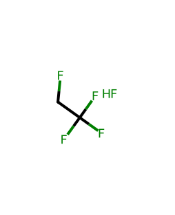 F.FCC(F)(F)F